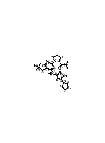 CN(C)C(=O)[C@@H]1CCCN1c1nc2c(c(Nc3cc(C4CCCC4)[nH]n3)n1)CC(F)(F)C2